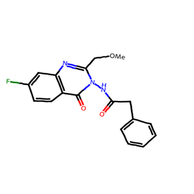 COCc1nc2cc(F)ccc2c(=O)n1NC(=O)Cc1ccccc1